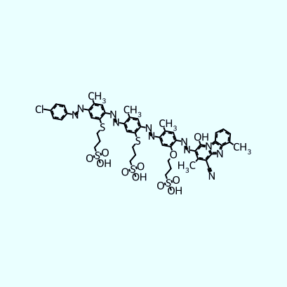 Cc1cc(N=Nc2cc(SCCCS(=O)(=O)O)c(N=Nc3cc(OCCCS(=O)(=O)O)c(N=Nc4c(C)c(C#N)c5nc6c(C)cccc6n5c4O)cc3C)cc2C)c(SCCCS(=O)(=O)O)cc1N=Nc1ccc(Cl)cc1